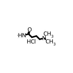 CN(C)CCCC([NH])=O.Cl